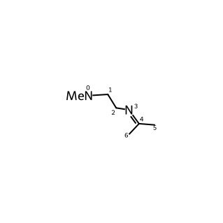 CNCCN=C(C)C